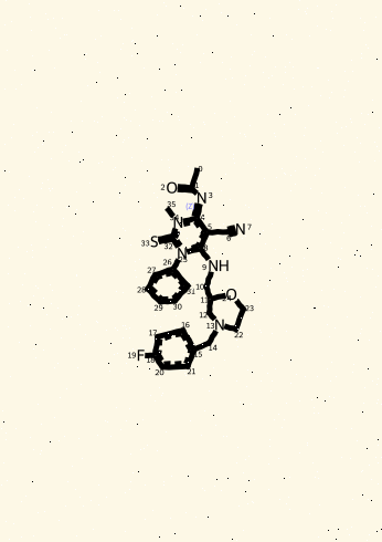 CC(=O)/N=c1/c(C#N)c(NCC2CN(Cc3ccc(F)cc3)CCO2)n(-c2ccccc2)c(=S)n1C